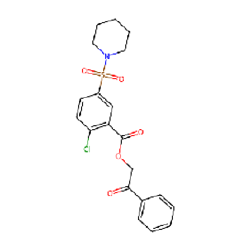 O=C(COC(=O)c1cc(S(=O)(=O)N2CCCCC2)ccc1Cl)c1ccccc1